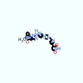 CN(C)C(=O)c1cc2cnc(Nc3ccc(N4CCN(Cc5ccc(C6CCC(=O)NC6=O)cn5)CC4)cn3)nc2n1C1CCCC1